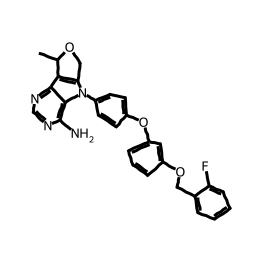 CC1OCc2c1c1ncnc(N)c1n2-c1ccc(Oc2cccc(OCc3ccccc3F)c2)cc1